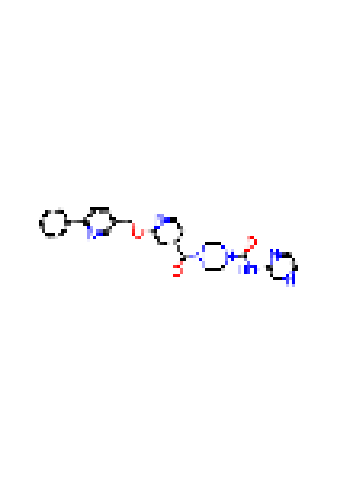 O=C(Nc1cnccn1)N1CCN(C(=O)c2ccnc(OCc3ccc(-c4ccccc4)nc3)c2)CC1